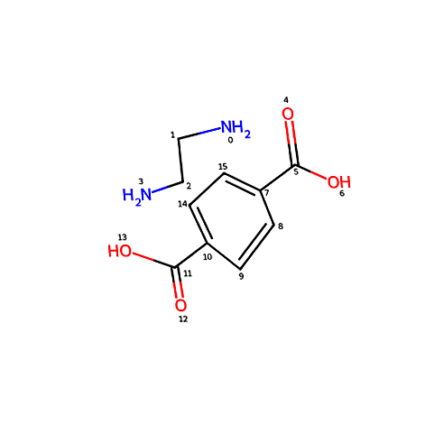 NCCN.O=C(O)c1ccc(C(=O)O)cc1